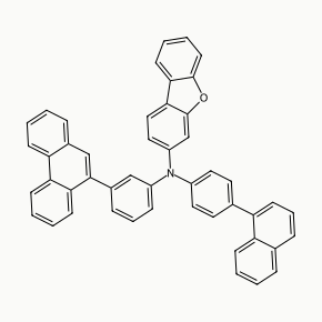 c1cc(-c2cc3ccccc3c3ccccc23)cc(N(c2ccc(-c3cccc4ccccc34)cc2)c2ccc3c(c2)oc2ccccc23)c1